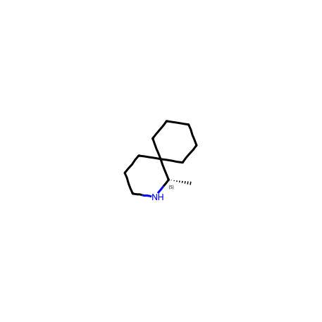 C[C@@H]1NCCCC12CCCCC2